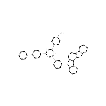 CCCCc1ccc(-c2nc(-c3ccc(-c4ccccc4)cc3)nc(-c3cccc(-n4c5ccccc5c5c6oc7ccccc7c6ccc54)c3)n2)cc1